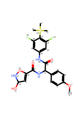 CCOc1ccc(C(NC(=O)C2=CC(O)NO2)C(=O)Nc2cc(F)c(S(C)(C)C)c(F)c2)cc1